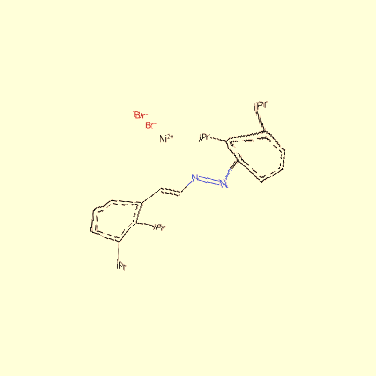 CC(C)c1cccc(C=CN=Nc2cccc(C(C)C)c2C(C)C)c1C(C)C.[Br-].[Br-].[Ni+2]